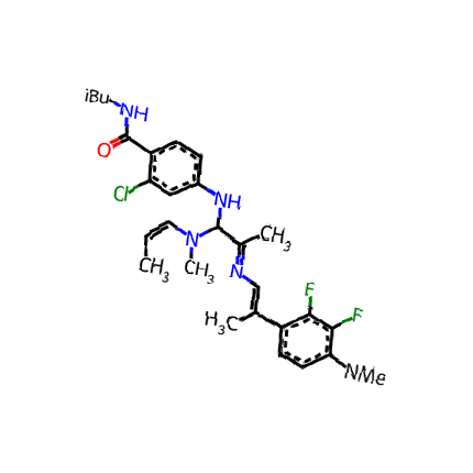 C/C=C\N(C)C(Nc1ccc(C(=O)NC(C)CC)c(Cl)c1)/C(C)=N/C=C(\C)c1ccc(NC)c(F)c1F